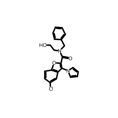 O=C(c1oc2ccc(Cl)cc2c1-n1cccc1)N(CCO)Cc1ccccc1